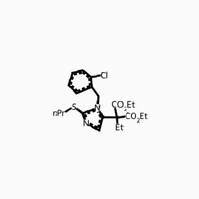 CCCSc1ncc(C(CC)(C(=O)OCC)C(=O)OCC)n1Cc1ccccc1Cl